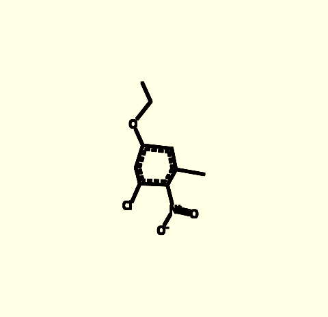 CCOc1cc(C)c([N+](=O)[O-])c(Cl)c1